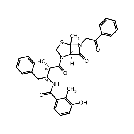 Cc1c(O)cccc1C(=O)N[C@@H](Cc1ccccc1)[C@H](O)C(=O)N1CSC2(C)[C@H]1C(=O)N2CC(=O)c1ccccc1